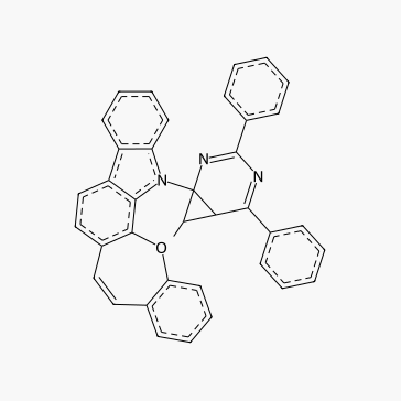 CC1C2C(c3ccccc3)=NC(c3ccccc3)=NC12n1c2ccccc2c2ccc3c(c21)Oc1ccccc1C=C3